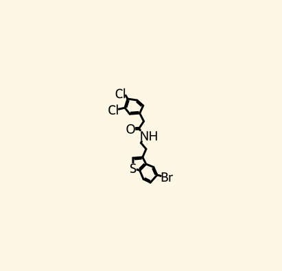 O=C(Cc1ccc(Cl)c(Cl)c1)NCCc1csc2ccc(Br)cc12